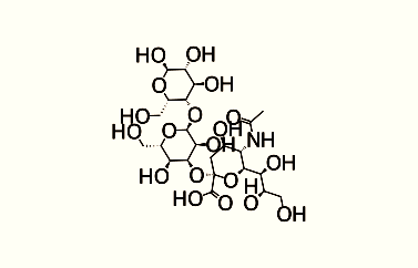 CC(=O)N[C@@H]1[C@@H]([C@@H](O)[C@H](O)CO)O[C@@](O[C@@H]2[C@H](O)[C@H](O[C@H]3[C@H](O)[C@@H](O)[C@H](O)O[C@H]3CO)O[C@@H](CO)[C@@H]2O)(C(=O)O)C[C@H]1O